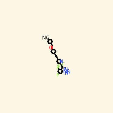 N#Cc1ccc(COc2ccc(C#Cc3ccc(C(F)(F)[C@H](Cn4cnnn4)c4ccc(F)cc4F)nc3)cc2)cc1